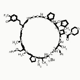 CCCOCC1=CN(C)C=CN=C(CCc2ccc(C(F)(F)F)c(Cl)c2)C=CNCCNCC2(CCCC2)NC(C)[C@H](C2CCCC2)N2C(C)[C@H](C(=O)N3CCOCC3)C2CNC(C)[C@H](CC(C)C)NC[C@H]([C@@H](C)CC)NC(C)[C@H](C)N2CCCC2=CN1C